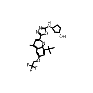 Cc1cc(-c2nnc(N[C@H]3CC[C@H](O)C3)o2)nc2c(C(C)(C)C)cc(OCC(F)(F)F)cc12